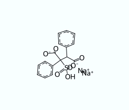 O=C([O-])C(c1ccccc1)C(C(=O)[O-])(c1ccccc1)S(=O)(=O)O.[Na+].[Na+]